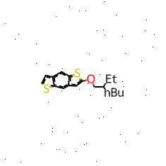 CCCCC(CC)COc1cc2cc3sccc3cc2s1